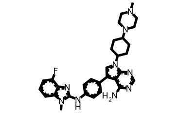 CN1CCN(C2CCC(n3cc(-c4ccc(Nc5nc6c(F)cccc6n5C)cc4)c4c(N)ncnc43)CC2)CC1